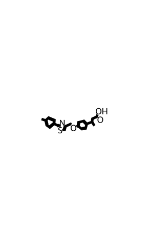 Cc1ccc(-c2nc(COc3ccc(C(C)CC(=O)O)cc3)cs2)cc1